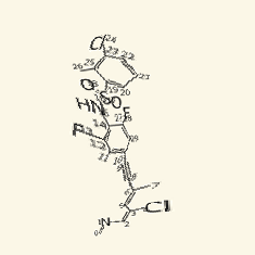 C=N/C=C(Cl)\C=C(/C)C#Cc1cc(F)c(NS(=O)(=O)c2cccc(Cl)c2C)c(F)c1